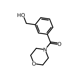 O=C(c1cccc(CO)c1)N1CCOCC1